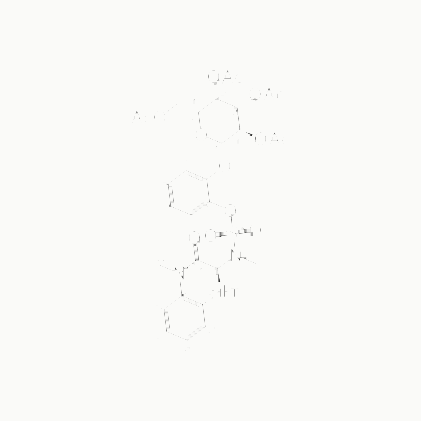 CC(=O)OC[C@H]1O[C@@H](Oc2ccccc2OS(=O)(=O)N(C)[C@H](C(=O)N(C)c2ccccc2)C(C)C)[C@H](OC(C)=O)[C@@H](OC(C)=O)[C@H]1OC(C)=O